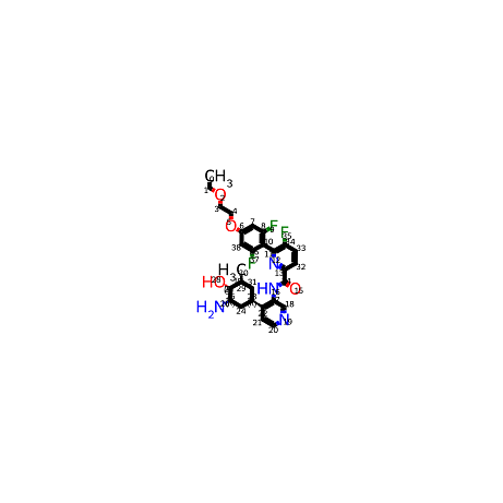 CCOCCOc1cc(F)c(-c2nc(C(=O)Nc3cnccc3[C@H]3C[C@@H](N)[C@H](O)[C@@H](C)C3)ccc2F)c(F)c1